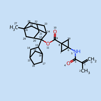 C=C(C)C(=O)NC12CC1(C(=O)OC1(C3CC4CCC3C4)C3CC4CC1CC(C)(C4)C3)C2